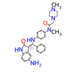 CN1CCN(CC(=O)N(C)c2ccc(N/C(=C3\C(=O)Nc4ccc(N)cc43)c3ccccc3)cc2)CC1